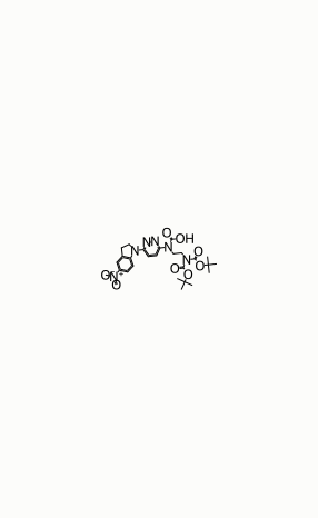 CC(C)(C)OC(=O)N(CCN(C(=O)O)c1ccc(N2CCc3cc([N+](=O)[O-])ccc32)nn1)C(=O)OC(C)(C)C